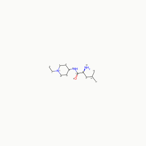 CCN1CCC(NC(=O)[C@@H](N)CC(C)C)CC1